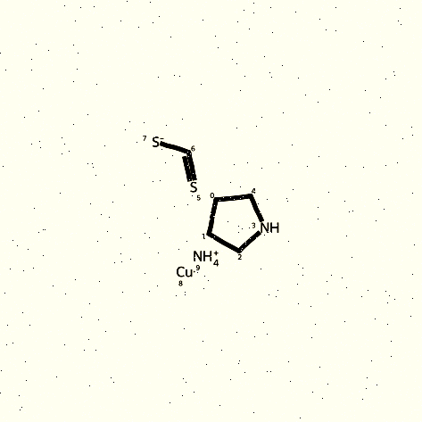 C1CCNC1.S=C[S-].[Cu].[NH4+]